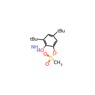 CC(C)(C)c1cc(OS(C)(=O)=O)c(O)c(C(C)(C)C)c1.N